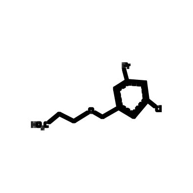 CC(C)c1cc(Cl)cc(COCCC(=O)O)c1